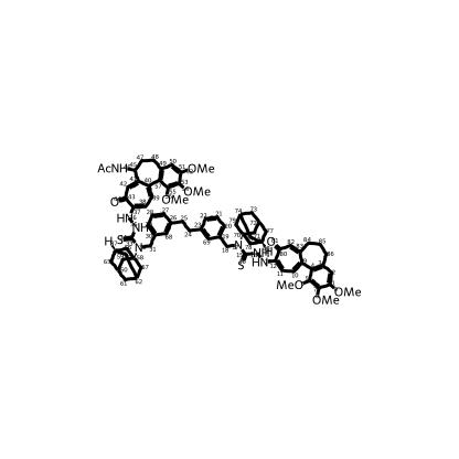 COc1cc2c(c(OC)c1OC)-c1ccc(NNC(=S)N(Cc3cccc(CCc4cccc(CN(C(=S)NNc5ccc6c(cc5=O)C(NC(C)=O)CCc5cc(OC)c(OC)c(OC)c5-6)[C@]56CC7CC(C[C@H](C7)C5)C6)c4)c3)[C@]34CC5CC(C[C@H](C5)C3)C4)c(=O)cc1CCC2